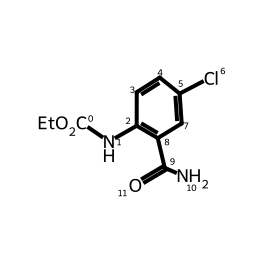 CCOC(=O)Nc1ccc(Cl)cc1C(N)=O